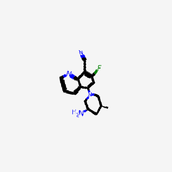 C[C@H]1C[C@@H](N)CN(c2cc(F)c(C#N)c3ncccc23)C1